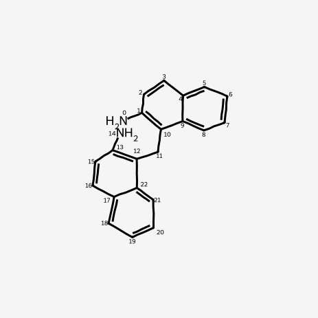 Nc1ccc2ccccc2c1Cc1c(N)ccc2ccccc12